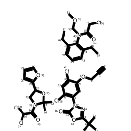 C#CCOc1cc(-n2nc(C(C)(C)C)oc2=O)c(Cl)cc1Cl.CC1(C)OC(c2ccco2)CN1C(=O)C(Cl)Cl.CCc1cccc(CC)c1N(COC)C(=O)CCl